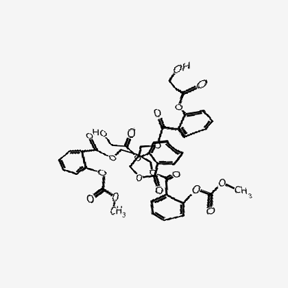 COC(=O)Oc1ccccc1C(=O)OCC(COC(=O)c1ccccc1OC(=O)CO)(COC(=O)c1ccccc1OC(=O)CO)COC(=O)c1ccccc1OC(=O)OC